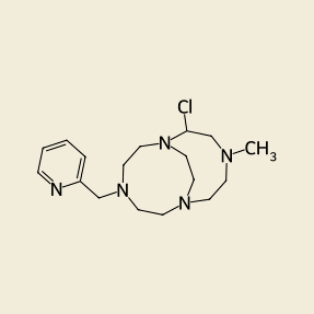 CN1CCN2CCN(Cc3ccccn3)CCN(CC2)C(Cl)C1